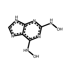 ONc1nc(NO)c2nc[nH]c2n1